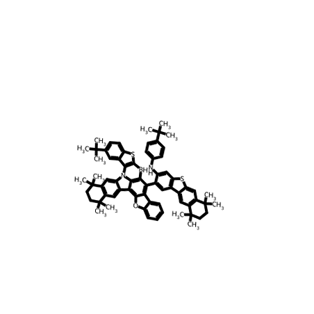 CC(C)(C)c1ccc(Nc2cc3sc4cc5c(cc4c3cc2-c2c3c4c(c6cc7c(cc6n4-c4c(sc6ccc(C(C)(C)C)cc46)B3)C(C)(C)CCC7(C)C)c3oc4ccccc4c23)C(C)(C)CCC5(C)C)cc1